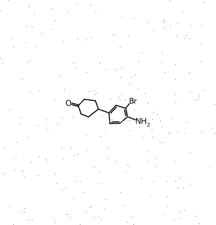 Nc1ccc(C2CCC(=O)CC2)cc1Br